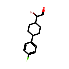 O=CC(Br)C1CCC(c2ccc(F)cc2)CC1